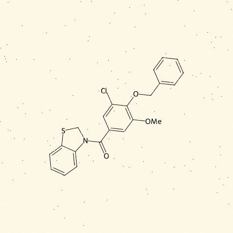 COc1cc(C(=O)N2CSc3ccccc32)cc(Cl)c1OCc1ccccc1